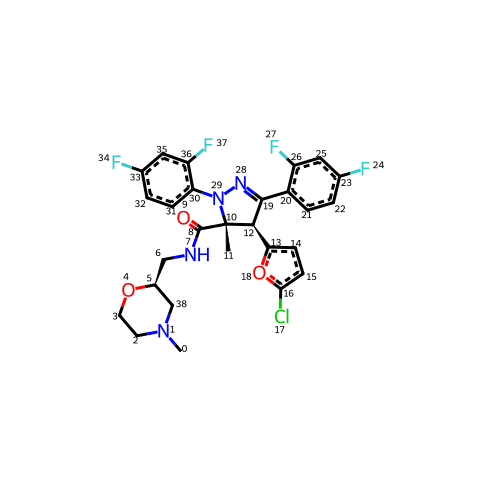 CN1CCO[C@@H](CNC(=O)[C@@]2(C)[C@H](c3ccc(Cl)o3)C(c3ccc(F)cc3F)=NN2c2ccc(F)cc2F)C1